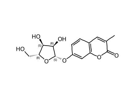 Cc1cc2ccc(O[C@@H]3O[C@H](CO)[C@@H](O)[C@H]3O)cc2oc1=O